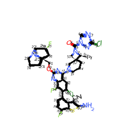 CC(C)[C@@H]1N(C(=O)n2cnc(Cl)n2)C[C@@]12CCCN(c1nc(OC[C@@]34CCCN3C[C@H](F)C4)nc3c(F)c(-c4ccc(F)c5sc(N)c(C#N)c45)c(Cl)cc13)C2